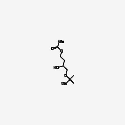 CC(C)(C)C(=O)OCCC(O)CO[Si](C)(C)C(C)(C)C